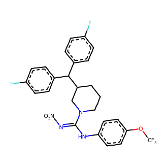 O=[N+]([O-])N=C(Nc1ccc(OC(F)(F)F)cc1)N1CCCC(C(c2ccc(F)cc2)c2ccc(F)cc2)C1